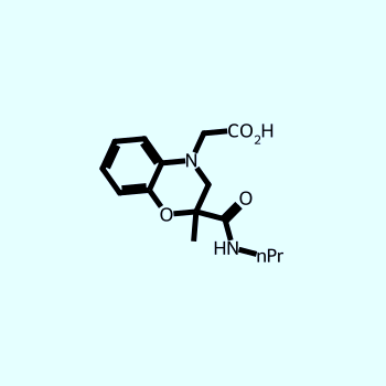 CCCNC(=O)C1(C)CN(CC(=O)O)c2ccccc2O1